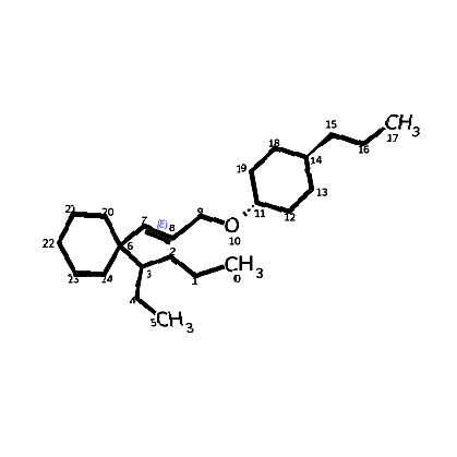 CCCC(CC)C1(/C=C/CO[C@H]2CC[C@H](CCC)CC2)CCCCC1